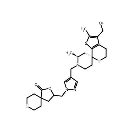 C[C@H]1C[C@@]2(CCN1Cc1cnn(CC3CC4(CCOCC4)C(=O)O3)c1)OCCc1c2sc(C(F)(F)F)c1CO